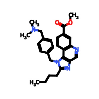 CCCCc1nc2cnc3cc(C(=O)OC)ccc3c2n1Cc1ccc(CN(C)C)cc1